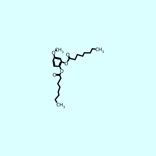 CCCCCCCC(=O)Oc1ccc(OC)cc1OC(=O)CCCCCCC